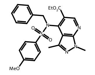 CCOC(=O)c1cnc2c(c(C)nn2C)c1N(Cc1ccccc1)S(=O)(=O)c1ccc(OC)cc1